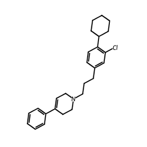 Clc1cc(CCCN2CC=C(c3ccccc3)CC2)ccc1C1CCCCC1